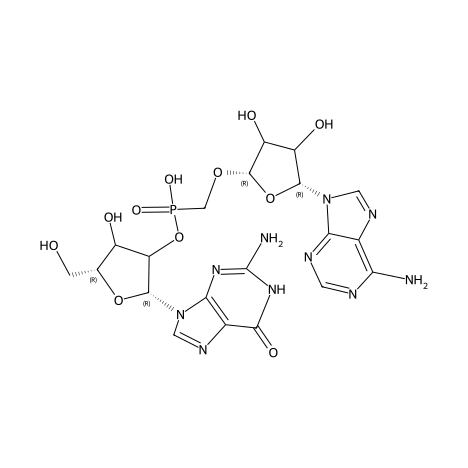 Nc1nc2c(ncn2[C@@H]2O[C@H](CO)C(O)C2OP(=O)(O)CO[C@H]2O[C@@H](n3cnc4c(N)ncnc43)C(O)C2O)c(=O)[nH]1